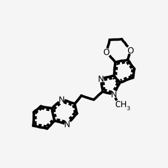 Cn1c(CCc2cnc3ccccc3n2)nc2c3c(ccc21)OCCO3